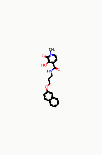 Cn1ccc(C(=O)NCCCOc2ccc3ccccc3c2)c(O)c1=O